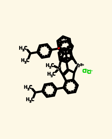 CC(C)c1ccc(-c2cccc3c2C2=C(c4ccccc4)[CH]3[Zr+2][CH]3C(c4ccccc4)=C(c4c(-c5ccc(C(C)C)cc5)cccc43)[Si]2(C)C)cc1.[Cl-].[Cl-]